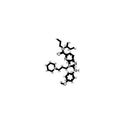 CCCN(C(=O)c1ccc2nc(Nc3ccc(OC)cc3)n(CCCN3CCCCC3)c2n1)C(C)CC